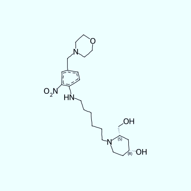 O=[N+]([O-])c1cc(CN2CCOCC2)ccc1NCCCCCCN1CC[C@@H](O)C[C@H]1CO